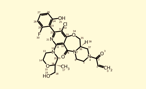 C=CC(=O)N1CCN2C(=O)c3c(N4CCO[C@](C)(CO)C4)nc(-c4c(O)cccc4F)c(Cl)c3OC[C@H]2C1